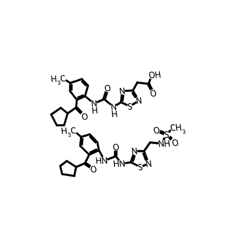 Cc1ccc(NC(=O)Nc2nc(CC(=O)O)ns2)c(C(=O)C2CCCC2)c1.Cc1ccc(NC(=O)Nc2nc(CNS(C)(=O)=O)ns2)c(C(=O)C2CCCC2)c1